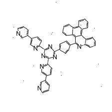 c1cncc(-c2ccc(-c3nc(-c4ccc(-c5nc6ccccc6c6c7ccccc7c7ccccc7c56)cc4)nc(-c4ccc(-c5cccnc5)cn4)n3)nc2)c1